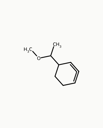 COC(C)C1C=C=CCC1